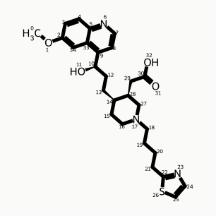 COc1ccc2nccc([C@H](O)CC[C@@H]3CCN(CCCCc4nccs4)C[C@@H]3CC(=O)O)c2c1